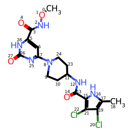 CONC(=O)c1cc(N2CCC(NC(=O)c3[nH]c(C)c(Cl)c3Cl)CC2)nc(=O)[nH]1